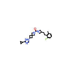 Cc1cccc(F)c1CCC1CN(C(=O)N2CC3(CC(n4cnc(C5CC5)n4)C3)C2)C1